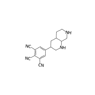 N#Cc1cc(C2CNC3CNCCC3C2)cc(C#N)c1C#N